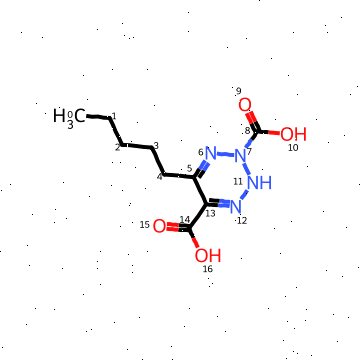 CCCCCC1=NN(C(=O)O)NN=C1C(=O)O